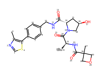 Cc1ncsc1-c1ccc(CNC(=O)[C@@H]2C[C@@H](O)CN2C(=O)[C@@H](NC(=O)C2(C)COC2)C(C)(C)C)cc1